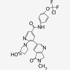 CN1Cc2ncc(-c3cc(C(=O)Nc4ccc(OC(F)(F)Cl)cc4)cnc3N3CC[C@@H](O)C3)cc2C1=O